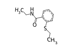 CCNC(=O)c1ccccc1SCC